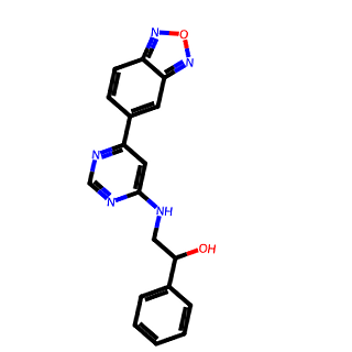 OC(CNc1cc(-c2ccc3nonc3c2)ncn1)c1ccccc1